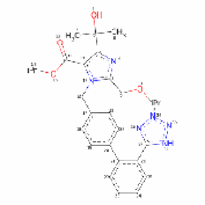 CC(C)OCc1nc(C(C)(C)O)c(C(=O)OC(C)C)n1Cc1ccc(-c2ccccc2-c2nnn[nH]2)cc1